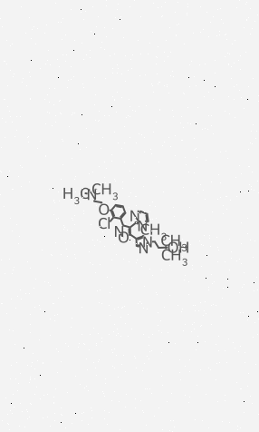 Cc1c(-c2onc(-c3cccc(OCCN(C)C)c3Cl)c2-c2ncccn2)cnn1CCC(C)(C)O